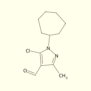 Cc1nn(C2CCCCCC2)c(Cl)c1C=O